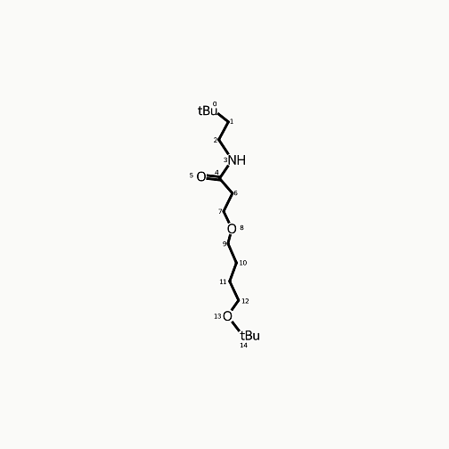 CC(C)(C)CCNC(=O)CCOCCCCOC(C)(C)C